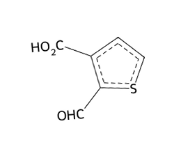 O=Cc1sccc1C(=O)O